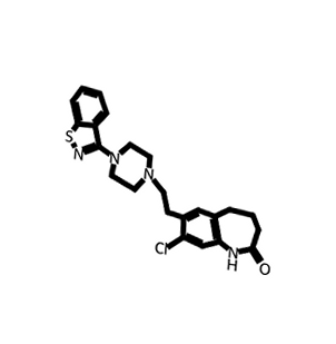 O=C1CCCc2cc(CCN3CCN(c4nsc5ccccc45)CC3)c(Cl)cc2N1